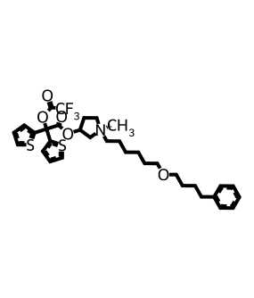 C[N+]1(CCCCCCOCCCCc2ccccc2)CCC(OC(=O)C(OC(=O)C(F)(F)F)(c2cccs2)c2cccs2)C1